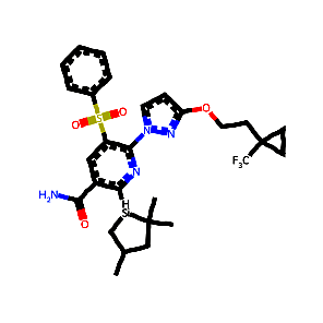 CC1C[SiH](c2nc(-n3ccc(OCCC4(C(F)(F)F)CC4)n3)c(S(=O)(=O)c3ccccc3)cc2C(N)=O)C(C)(C)C1